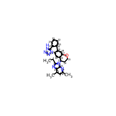 CCc1nc2c(C)cc(C)nc2n1C1CCOc2cc(-c3ccccc3-c3nnn[nH]3)ccc21